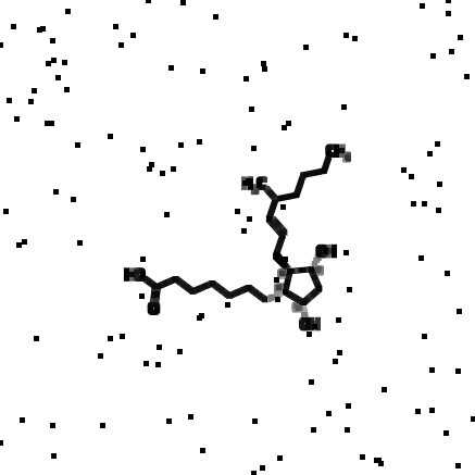 CCCCC(C)C=CC[C@@H]1[C@@H](CCCCCCC(=O)O)[C@@H](O)C[C@H]1O